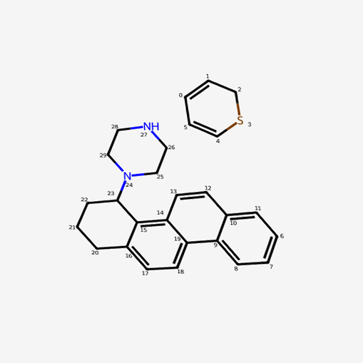 C1=CCSC=C1.c1ccc2c(c1)ccc1c3c(ccc12)CCCC3N1CCNCC1